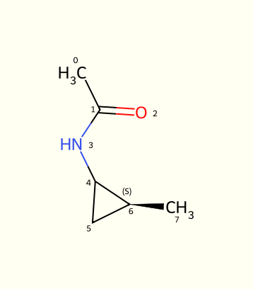 CC(=O)NC1C[C@@H]1C